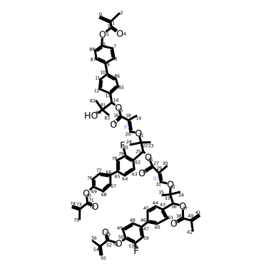 C=C(C)C(=O)Oc1ccc(-c2ccc(C(OC(=O)/C(C)=C/OC(C)(C)C(OC(=O)/C(C)=C/OC(C)(C)C(OC(=O)C(=C)C)c3ccc(-c4ccc(OC(=O)C(=C)C)c(F)c4)cc3)c3ccc(-c4ccc(OC(=O)C(=C)C)cc4)cc3F)C(C)(C)O)cc2)cc1